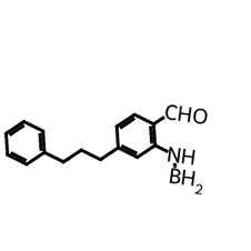 BNc1cc(CCCc2ccccc2)ccc1C=O